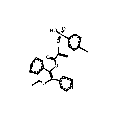 C=C(C)C(=O)OC(=C(OCC)c1ccncc1)c1ccccc1.Cc1ccc(S(=O)(=O)O)cc1